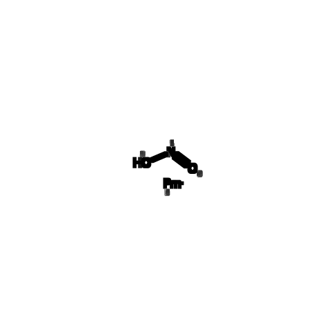 O=NO.[Pm]